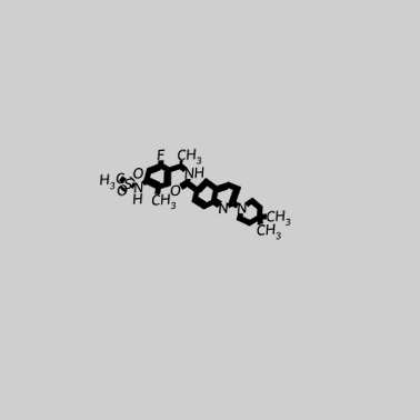 Cc1cc([C@@H](C)NC(=O)c2ccc3nc(N4CCC(C)(C)CC4)ccc3c2)c(F)cc1NS(C)(=O)=O